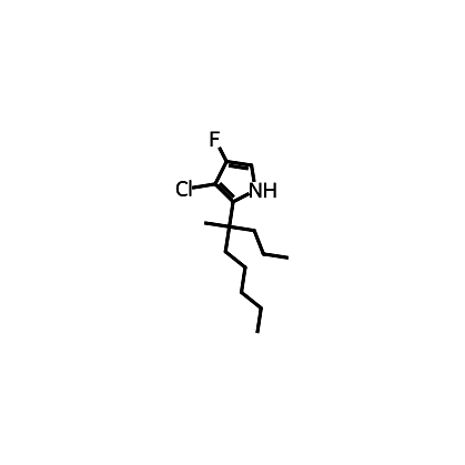 CCCCCC(C)(CCC)c1[nH]cc(F)c1Cl